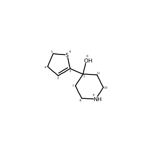 OC1(C2=CCCS2)CCNCC1